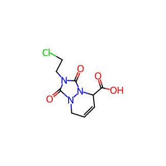 O=C(O)C1C=CCn2c(=O)n(CCCl)c(=O)n21